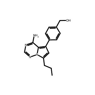 CCCc1cc(-c2ccc(CO)cc2)c2c(N)ncnn12